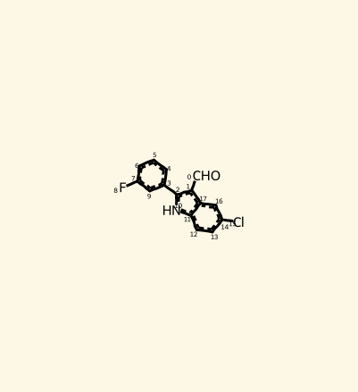 O=Cc1c(-c2cccc(F)c2)[nH]c2ccc(Cl)cc12